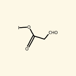 O=CCC(=O)OI